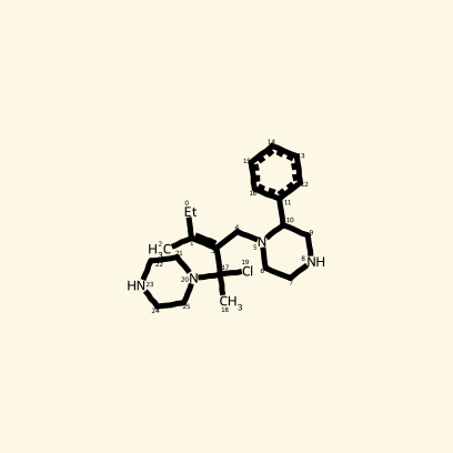 CCC(C)=C(CN1CCNCC1c1ccccc1)C(C)(Cl)N1CCNCC1